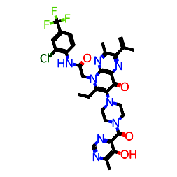 C=C(C)c1nc2c(=O)c(N3CCN(C(=O)c4ncnc(C)c4O)CC3)c(CC)n(CC(=O)Nc3ccc(C(F)(F)F)cc3Cl)c2nc1C